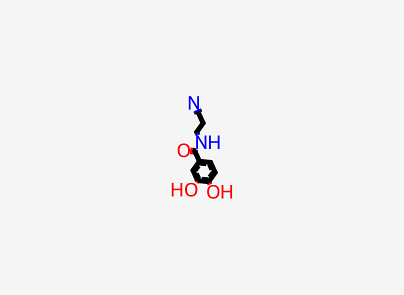 N#CCCNC(=O)c1ccc(O)c(O)c1